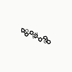 c1cc(-c2cnc(-c3cccc(-c4cccc5c4oc4ccccc45)c3)nc2)cc(-c2cccc3c2oc2ccccc23)c1